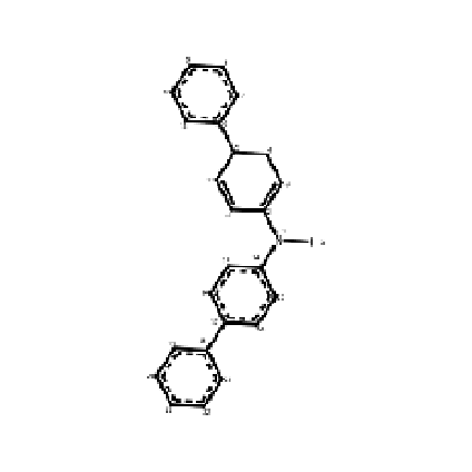 IN(C1=CCC(c2ccccc2)C=C1)c1ccc(-c2ccccc2)cc1